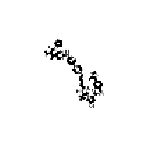 CC(=O)c1c(C)c2cnc(Nc3ccc(N4CCN(CCCCC(=O)N[C@H](C(=O)N5C[C@@H](O)C[C@@H]5C(=O)N[C@@H](C)c5ccc(-c6scnc6C)cc5)C(C)(C)C)CC4)cn3)nc2n(C2CCCC2)c1=O